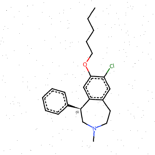 CCCCCOc1cc2c(cc1Cl)CCN(C)C[C@H]2c1ccccc1